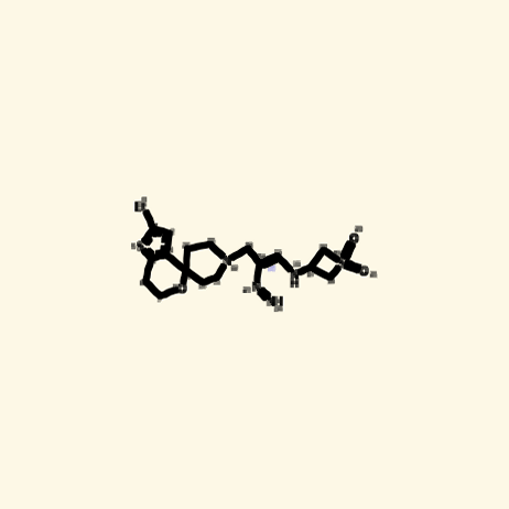 CCc1cc2c(s1)CCOC21CCN(C/C(=C/NC2CS(=O)(=O)C2)N=N)CC1